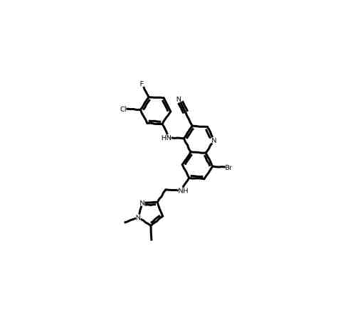 Cc1cc(CNc2cc(Br)c3ncc(C#N)c(Nc4ccc(F)c(Cl)c4)c3c2)nn1C